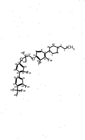 CCCC1CCC(c2ccc(OCC(F)(F)Oc3ccc(-c4ccc(C(F)(F)F)c(F)c4)c(F)c3)c(F)c2F)CC1